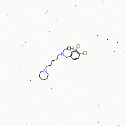 CCN(CCCCCN1CC[CH]CC1)Cc1ccc(Cl)c(Cl)c1